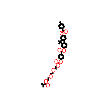 C=C(C)C(=O)OCCOCCOCCOC(=O)Oc1ccc(C(=O)Oc2ccc3c(c2)C(C)(C)c2cc(OC(=O)c4ccc(C)cc4)ccc2-3)cc1